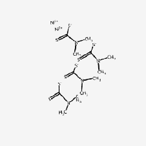 CN(C)C(=S)[S-].CN(C)C(=S)[S-].CN(C)C(=S)[S-].CN(C)C(=S)[S-].[Ni+2].[Ni+2]